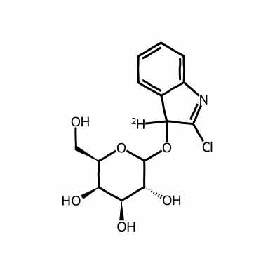 [2H]C1(OC2O[C@H](CO)[C@H](O)[C@H](O)[C@H]2O)C(Cl)=Nc2ccccc21